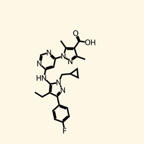 CCc1c(-c2ccc(F)cc2)nn(CC2CC2)c1Nc1cc(-n2nc(C)c(C(=O)O)c2C)ncn1